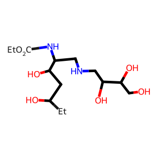 CCOC(=O)NC(CNCC(O)C(O)CO)C(O)CC(O)CC